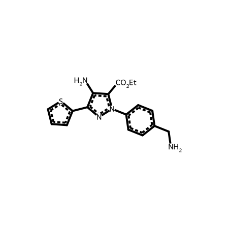 CCOC(=O)c1c(N)c(-c2cccs2)nn1-c1ccc(CN)cc1